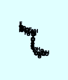 O=C1CCC(N2Cc3cc(C[C@H](O)CN4CC5(C4)CN(c4ccc(-c6cnc7[nH]cc(C(=O)c8c(F)ccc(NS(=O)(=O)N9CC[C@@H](F)C9)c8F)c7c6)cc4)C5)ccc3C2=O)C(=O)N1